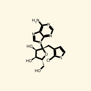 Nc1ncnc2c1ncn2[C@]1(Cc2ccsc2Cl)O[C@H](CO)[C@@H](O)[C@H]1O